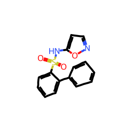 O=S(=O)(Nc1ccno1)c1ccccc1-c1ccccc1